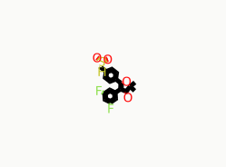 CC1(C)OC(c2ccc(C[SH](=O)=O)cc2)=C(c2cc(F)cc(F)c2)C1=O